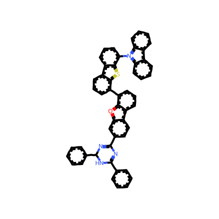 c1ccc(C2=NC(c3ccc4c(c3)oc3c(-c5cccc6c5sc5c(-n7c8ccccc8c8ccccc87)cccc56)cccc34)=NC(c3ccccc3)N2)cc1